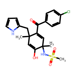 CC1(Cc2ccc[nH]2)C=C(O)C(C)(NS(C)(=O)=O)C=C1C(=O)c1ccc(Cl)cc1